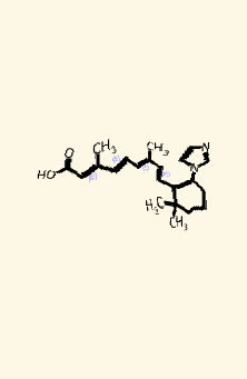 CC(/C=C/C1=C(n2ccnc2)CCCC1(C)C)=C\C=C\C(C)=C\C(=O)O